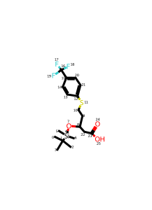 CC(C)(C)[Si](C)(C)OC(CCSc1ccc(C(F)(F)F)cc1)CC(=O)O